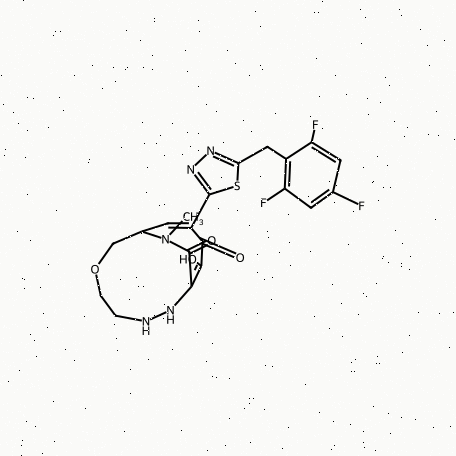 CN1C(=O)/C2=C(\O)C(=O)/C(c3nnc(Cc4c(F)cc(F)cc4F)s3)=C\C1COCCNN2